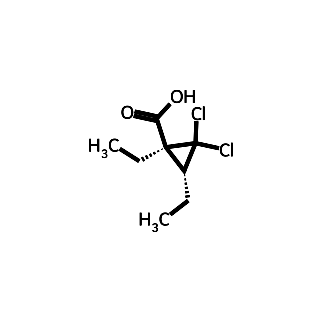 CC[C@H]1C(Cl)(Cl)[C@]1(CC)C(=O)O